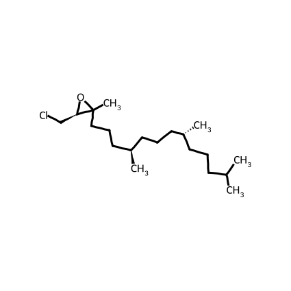 CC(C)CCC[C@@H](C)CCC[C@@H](C)CCCC1(C)O[C@@H]1CCl